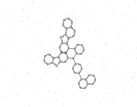 c1ccc(N(c2ccc(-c3cccc4ccccc34)cc2)c2ccc3c(c2)oc2ccccc23)c(-c2cccc3oc4c5ccccc5ccc4c23)c1